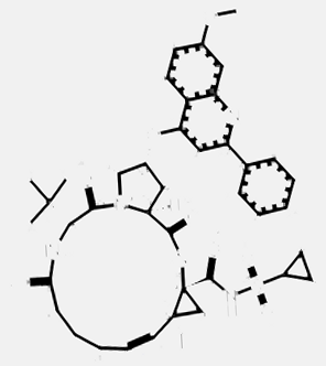 COc1ccc2c(O[C@@H]3C[C@H]4C(=O)N[C@]5(C(=O)NS(=O)(=O)C6CC6)C[C@H]5/C=C\CCCC(=O)N[C@H](C(C)(C)C)C(=O)N4C3)cc(-c3ccccc3)nc2c1